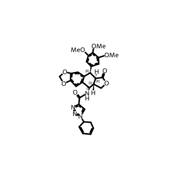 COc1cc([C@@H]2c3cc4c(cc3[C@@H](NC(=O)c3cn(C5C=CC=CC5)nn3)[C@H]3COC(=O)[C@H]23)OCO4)cc(OC)c1OC